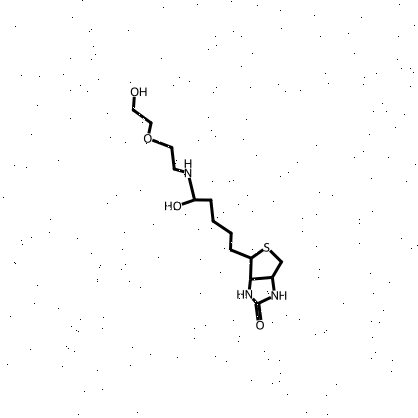 O=C1NC2CSC(CCCCC(O)NCCOCCO)C2N1